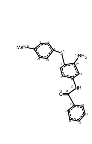 CNc1ccc(Sc2ccc(NC(=O)c3ccccc3)cc2N)cc1